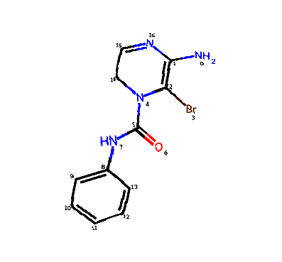 NC1=C(Br)N(C(=O)Nc2ccccc2)CC=N1